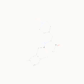 COC(=O)C(CC1CCN(O)CC1)NC(=O)Cc1cc(C)ccc1C